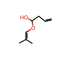 C=CCC(O)OC=C(C)C